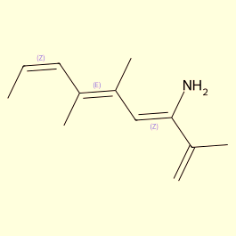 C=C(C)/C(N)=C/C(C)=C(C)/C=C\C